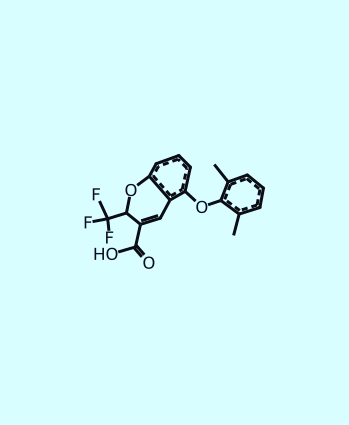 Cc1cccc(C)c1Oc1cccc2c1C=C(C(=O)O)C(C(F)(F)F)O2